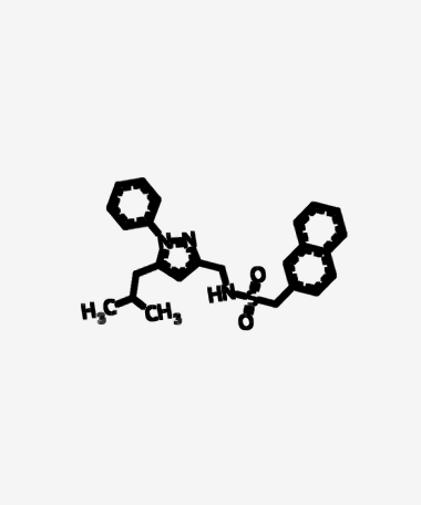 CC(C)Cc1cc(CNS(=O)(=O)Cc2ccc3ccccc3c2)nn1-c1ccccc1